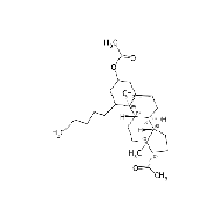 CCCCCC1CC(OC(C)=O)CC2=CC[C@H]3[C@@H]4CC[C@H](C(C)=O)[C@@]4(C)CC[C@@H]3[C@]21C